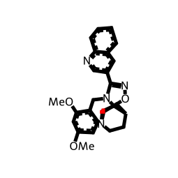 COc1ccc(CN2C(c3cnc4ccccc4c3)=NOC23CN2CCC3CC2)c(OC)c1